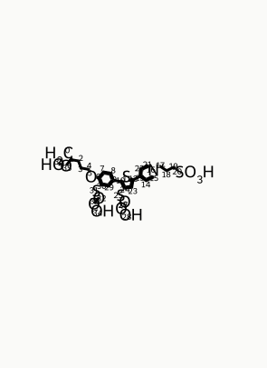 C=C(CCCOc1ccc(-c2sc(-c3cc[n+](CCCS(=O)(=O)O)cc3)cc2SOOO)cc1SOOO)OO